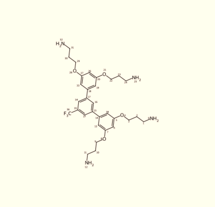 NCCCOc1cc(OCCCN)cc(-c2cc(-c3cc(OCCCN)cc(OCCCN)c3)cc(C(F)(F)F)c2)c1